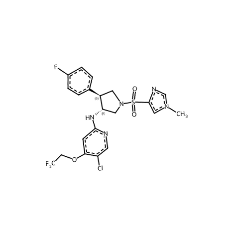 Cn1cnc(S(=O)(=O)N2C[C@H](Nc3cc(OCC(F)(F)F)c(Cl)cn3)[C@@H](c3ccc(F)cc3)C2)c1